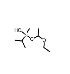 CCOC(C)O[Si](C)(O)C(C)C